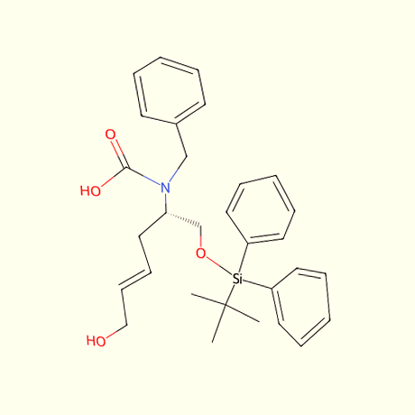 CC(C)(C)[Si](OC[C@H](CC=CCO)N(Cc1ccccc1)C(=O)O)(c1ccccc1)c1ccccc1